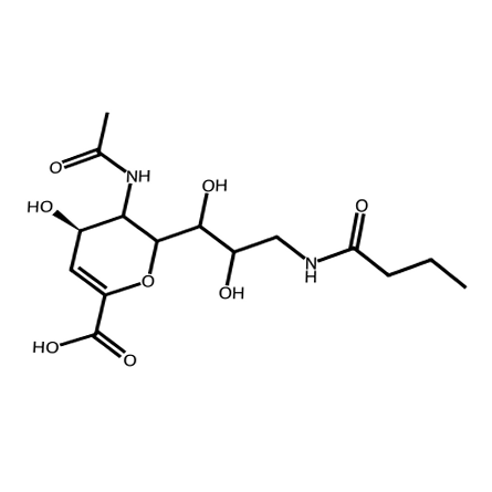 CCCC(=O)NCC(O)C(O)C1OC(C(=O)O)=C[C@@H](O)C1NC(C)=O